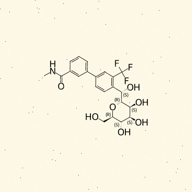 CNC(=O)c1cccc(-c2ccc([C@H](O)[C@H]3O[C@H](CO)[C@@H](O)[C@H](O)[C@@H]3O)c(C(F)(F)F)c2)c1